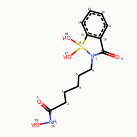 O=C(CCCCCN1C(=O)c2ccccc2S1(O)O)NO